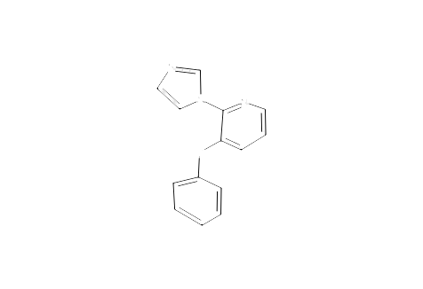 c1ccc(Oc2cccnc2-n2ccnc2)cc1